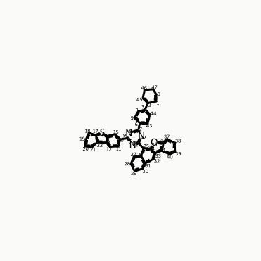 C1=CC(c2ccc(-c3nc(-c4ccc5c(c4)sc4ccccc45)nc(-c4c5ccccc5cc5c4oc4ccccc45)n3)cc2)=CCC1